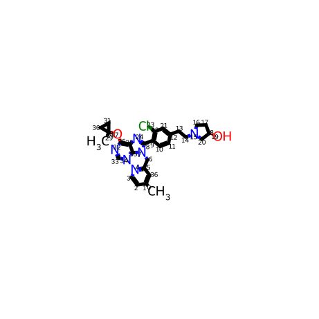 Cc1ccnc(Cn2c(-c3ccc(CCN4CC[C@@H](O)C4)cc3Cl)nc3c(OC4(C)CC4)ncnc32)c1